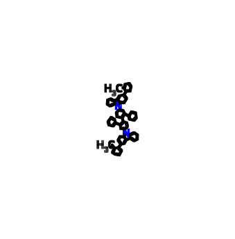 Cc1ccccc1-c1ccc2c(c1)c1ccccc1n2-c1ccc(-c2ccc(-n3c4ccccc4c4cc(-c5ccccc5C)ccc43)cc2-c2ccccc2)c(-c2ccccc2)c1